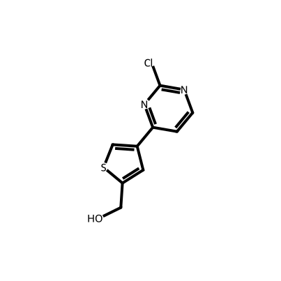 OCc1cc(-c2ccnc(Cl)n2)cs1